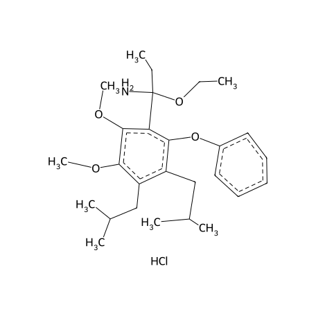 CCOC(N)(CC)c1c(Oc2ccccc2)c(CC(C)C)c(CC(C)C)c(OC)c1OC.Cl